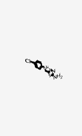 Nc1nnc(CNc2ccc(Cl)cc2)s1